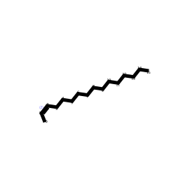 C/C=C\CCCCCCCCCCCCC